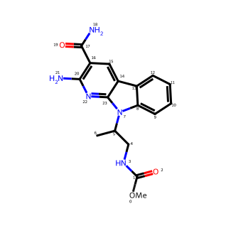 COC(=O)NCC(C)n1c2ccccc2c2cc(C(N)=O)c(N)nc21